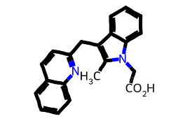 Cc1c(Cc2ccc3ccccc3n2)c2ccccc2n1CC(=O)O